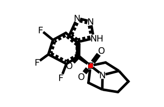 O=C(c1cnn[nH]1)N1CC2CCC(C1)N2S(=O)(=O)c1ccc(F)c(F)c1F